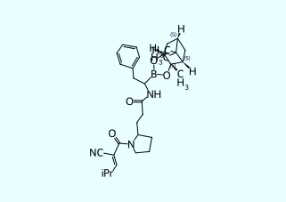 CC(C)C=C(C#N)C(=O)N1CCCC1CCC(=O)NC(Cc1ccccc1)B1O[C@@H]2C[C@@H]3C[C@@H](C3(C)C)[C@]2(C)O1